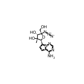 C[C@]1(O)[C@H](c2ccc3c(N)ncnn23)O[C@@](CO)(N=[N+]=[N-])[C@H]1O